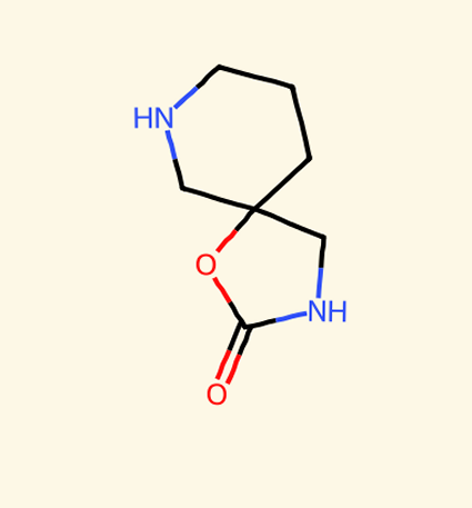 O=C1NCC2(CCCNC2)O1